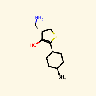 B[C@H]1CC[C@@H](C2=C(O)[C@H](CN)CS2)CC1